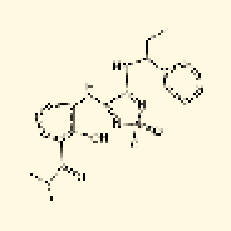 CC[C@H](NC1=NS(=O)(=O)N=C1Nc1cccc(C(=O)N(C)C)c1O)c1ccccc1